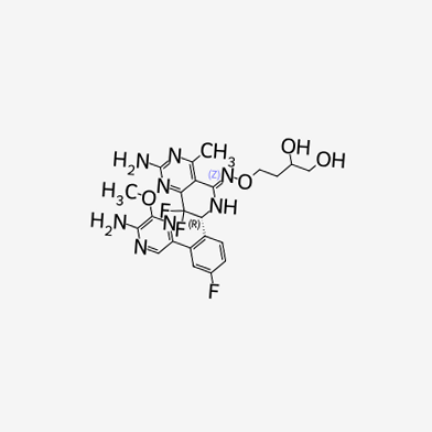 COc1nc(-c2cc(F)ccc2[C@H]2N/C(=N\OCCC(O)CO)c3c(C)nc(N)nc3C2(F)F)cnc1N